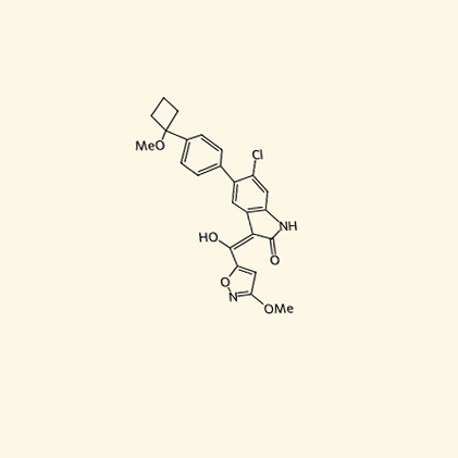 COc1cc(/C(O)=C2\C(=O)Nc3cc(Cl)c(-c4ccc(C5(OC)CCC5)cc4)cc32)on1